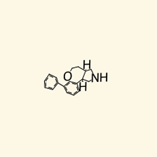 c1ccc(-c2cccc3c2OCC[C@H]2CNC[C@H]32)cc1